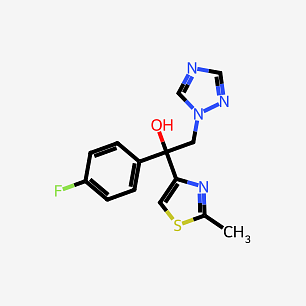 Cc1nc(C(O)(Cn2cncn2)c2ccc(F)cc2)cs1